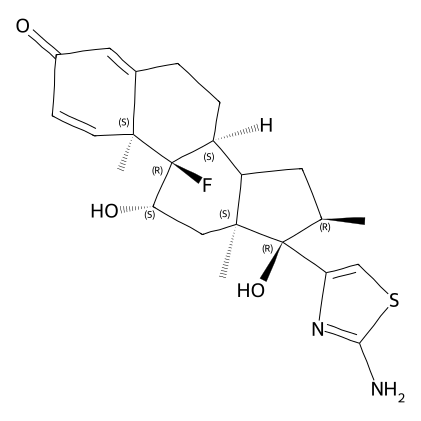 C[C@@H]1CC2[C@@H]3CCC4=CC(=O)C=C[C@]4(C)[C@@]3(F)[C@@H](O)C[C@]2(C)[C@@]1(O)c1csc(N)n1